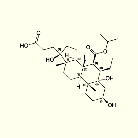 CC[C@@H]1[C@H](C(=O)OC(C)C)[C@H]2[C@@H]3CC[C@@](O)(CCC(=O)O)[C@@]3(C)CC[C@@H]2[C@@]2(C)CC[C@H](O)C[C@]12O